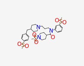 CS(=O)(=O)c1ccc(CC2CCN(CCCN(C(=O)C3CCN(S(C)(=O)=O)CC3)c3cccc(S(C)(=O)=O)c3)CC2)cc1